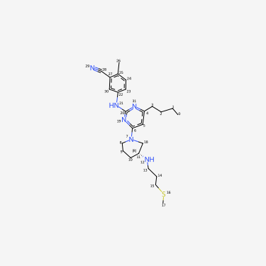 CCCCc1cc(N2CCC[C@@H](NCCCSC)C2)nc(Nc2ccc(C)c(C#N)c2)n1